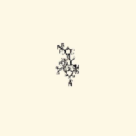 CC1=C(C#N)[C@@H](c2ccc(C#N)cc2S(C)(=O)=O)N(S(=O)(=O)C2CC2)C(=O)N1c1cccc(C(F)(F)F)c1